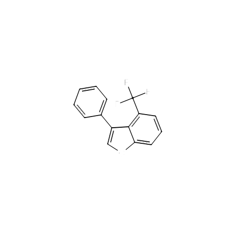 FC(F)(F)c1cccc2occ(-c3ccccc3)c12